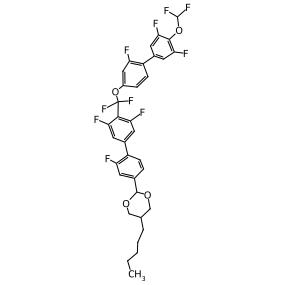 CCCCCC1COC(c2ccc(-c3cc(F)c(C(F)(F)Oc4ccc(-c5cc(F)c(OC(F)F)c(F)c5)c(F)c4)c(F)c3)c(F)c2)OC1